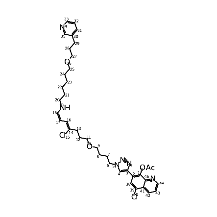 CC(=O)Oc1c(-c2cn(CCCCOCCC/C(Cl)=C/C=C\NCCCCCCOCCCc3cccnc3)nn2)cc(Cl)c2cccnc12